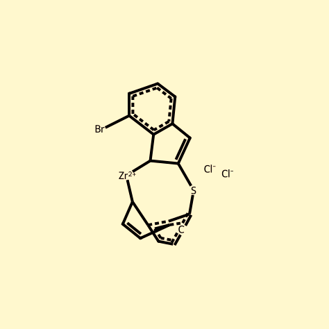 Brc1cccc2c1[CH]1[Zr+2][CH]3C=Cc4c(cccc43)SC1=C2.[Cl-].[Cl-]